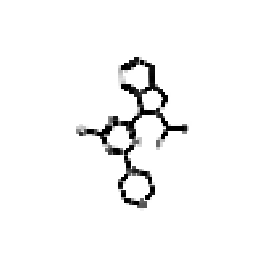 FC(F)N1Cc2ccccc2C1c1nc(Cl)nc(N2CCOCC2)n1